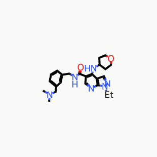 CCn1ncc2c(NC3CCOCC3)c(C(=O)NCc3cccc(CN(C)C)c3)cnc21